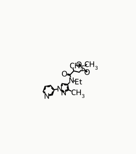 CCN(C(=O)C(C)CS(C)(=O)=O)c1cn(-c2cccnc2)nc1C